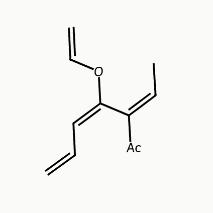 C=C/C=C(OC=C)\C(=C/C)C(C)=O